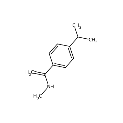 C=C(NC)c1ccc(C(C)C)cc1